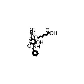 COC1OC(CN=[N+]=[N-])C(OCCCCCC(=O)O)C(O)C1NCc1ccccc1